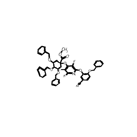 COC(=O)C1(Oc2c(F)c(F)nc(Oc3cc(C#N)ccc3OCc3ccccc3)c2F)CC(OCc2ccccc2)C(OCc2ccccc2)C(OCc2ccccc2)C1